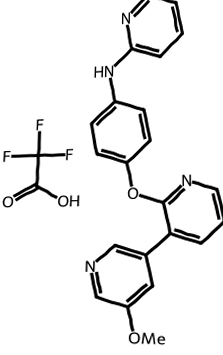 COc1cncc(-c2cccnc2Oc2ccc(Nc3ccccn3)cc2)c1.O=C(O)C(F)(F)F